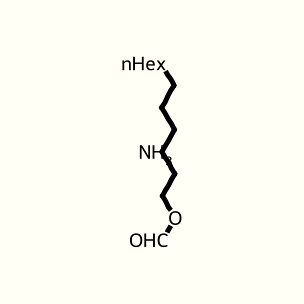 CCCCCCCCCCCCOC=O.N